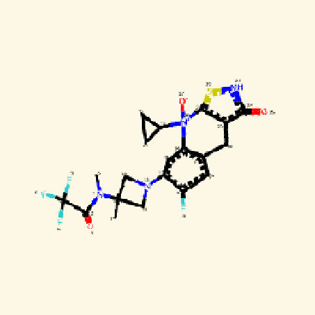 CN(C(=O)C(F)(F)F)C1(C)CN(c2cc3c(cc2F)Cc2c(s[nH]c2=O)[N+]3([O-])C2CC2)C1